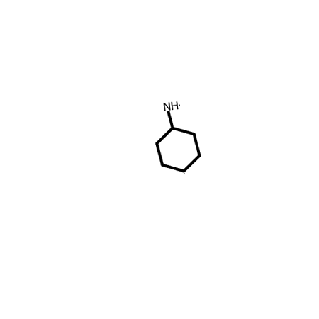 [NH]C1CC[CH]CC1